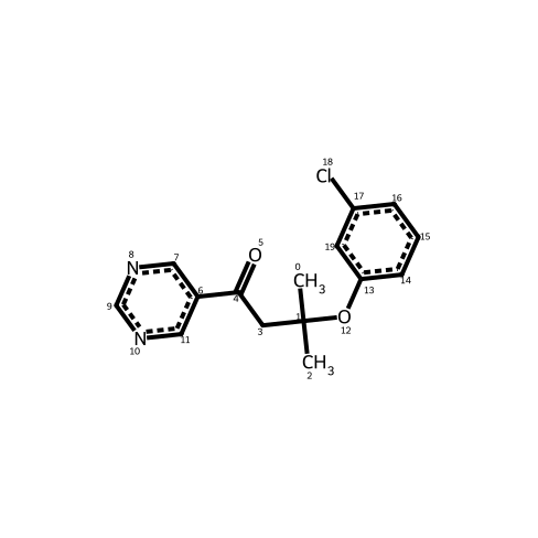 CC(C)(CC(=O)c1cncnc1)Oc1cccc(Cl)c1